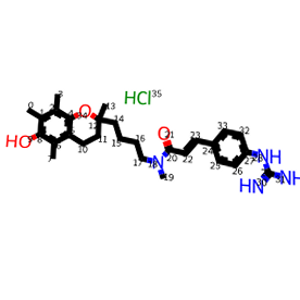 Cc1c(C)c2c(c(C)c1O)CCC(C)(CCCCN(C)C(=O)/C=C/c1ccc(NC(=N)N)cc1)O2.Cl